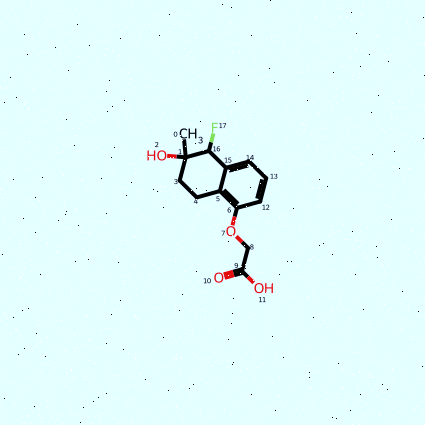 CC1(O)CCc2c(OCC(=O)O)cccc2C1F